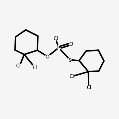 O=P(Cl)(OC1CCCCC1(Cl)Cl)SC1CCCCC1(Cl)Cl